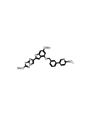 COc1cc(OCc2cccc(-c3ccc([N+](=O)[O-])nc3)c2)c2cc(-c3cn4nc(OC)sc4n3)oc2c1